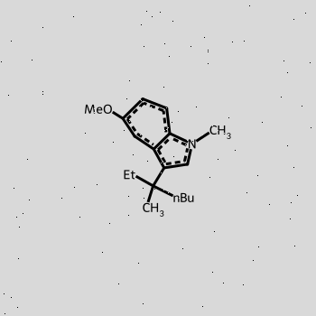 CCCCC(C)(CC)c1cn(C)c2ccc(OC)cc12